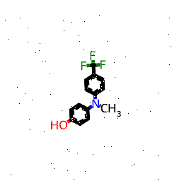 CN(c1ccc(O)cc1)c1ccc(C(F)(F)F)cc1